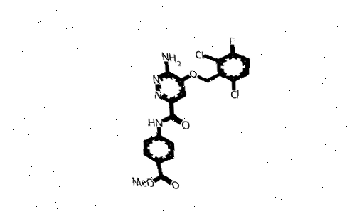 COC(=O)c1ccc(NC(=O)c2cc(OCc3c(Cl)ccc(F)c3Cl)c(N)nn2)cc1